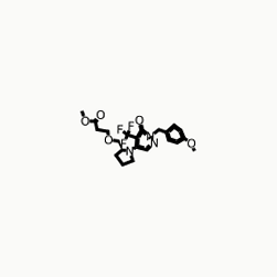 COC(=O)CCOC[C@@H]1CCCN1c1cnn(Cc2ccc(OC)cc2)c(=O)c1C(F)(F)F